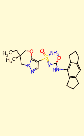 CC[C@]1(C)COc2c([S@](N)(=O)=NC(=O)Nc3c4c(cc5c3CCC5)CCC4)cnn2C1